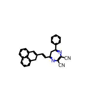 N#CC1=C(C#N)N=C(c2ccccc2)CC(C=CC2=Cc3cccc4cccc(c34)C2)=N1